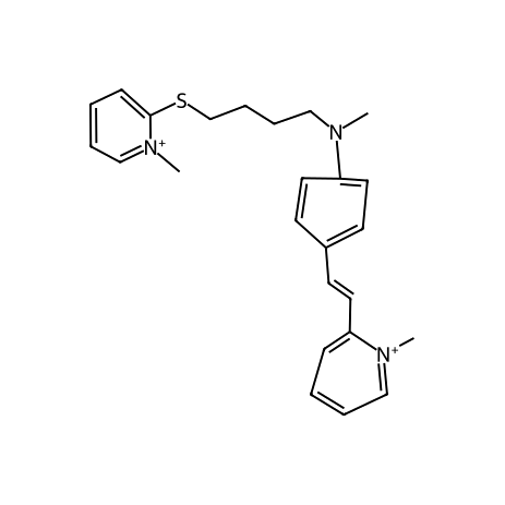 CN(CCCCSc1cccc[n+]1C)c1ccc(/C=C/c2cccc[n+]2C)cc1